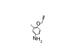 C#CCOc1ccc(N)cc1C